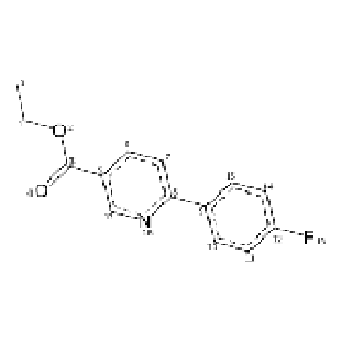 CCOC(=O)c1ccc(-c2ccc(F)cc2)nc1